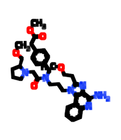 COCCc1nc2c(N)nc3ccccc3c2n1CCCN(Cc1ccc(CC(=O)OC)cc1)C(=O)CN1CCC[C@H]1COC